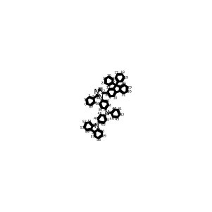 c1ccc(-c2nnc(-c3ccc4c(c3)C(c3ccccc3)(c3ccccc3)c3ccccc3-4)n2-c2ccc(N(c3ccccc3)c3ccc(-n4c5ccccc5c5ccccc54)cc3)cc2)cc1